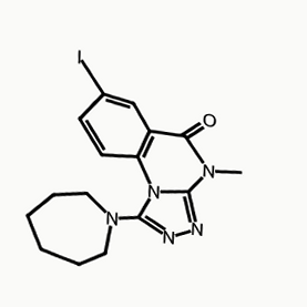 Cn1c(=O)c2cc(I)ccc2n2c(N3CCCCCC3)nnc12